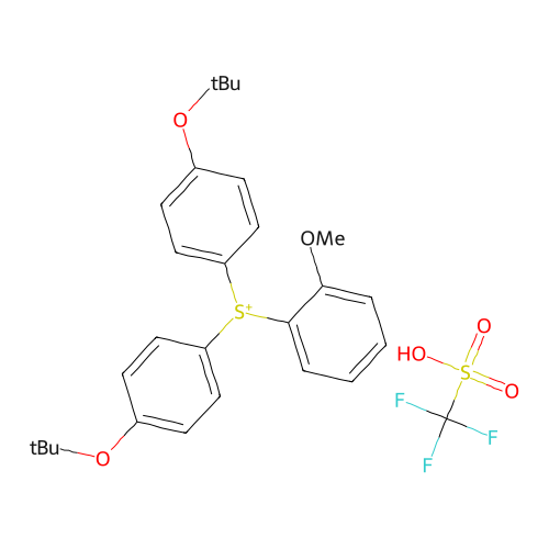 COc1ccccc1[S+](c1ccc(OC(C)(C)C)cc1)c1ccc(OC(C)(C)C)cc1.O=S(=O)(O)C(F)(F)F